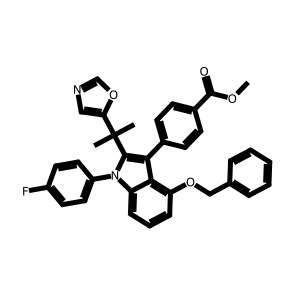 COC(=O)c1ccc(-c2c(C(C)(C)c3cnco3)n(-c3ccc(F)cc3)c3cccc(OCc4ccccc4)c23)cc1